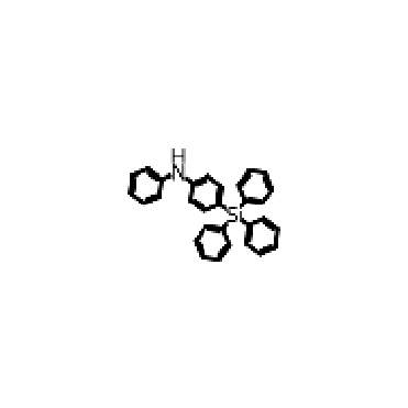 c1ccc(Nc2ccc([Si](c3ccccc3)(c3ccccc3)c3ccccc3)cc2)cc1